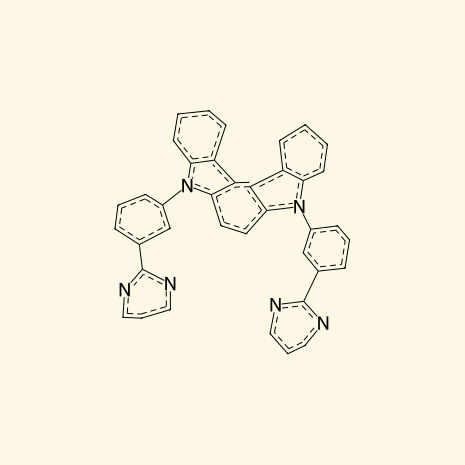 c1cnc(-c2cccc(-n3c4ccccc4c4c5c6ccccc6n(-c6cccc(-c7ncccn7)c6)c5ccc43)c2)nc1